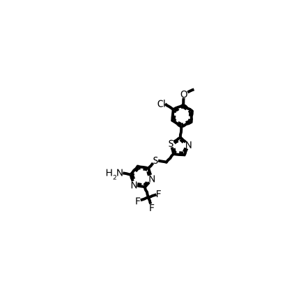 COc1ccc(-c2ncc(CSc3cc(N)nc(C(F)(F)F)n3)s2)cc1Cl